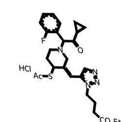 CCOC(=O)CCCn1nncc1C=C1CN(C(C(=O)C2CC2)c2ccccc2F)CCC1SC(C)=O.Cl